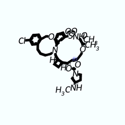 CN[C@@H]1CCN(C(=O)O[C@H]2/C=C/COC(C)(C)C(=O)NS(=O)(=O)c3ccc4c(c3)N(CCCCc3cc(Cl)ccc3CO4)C[C@@H]3CC[C@H]32)C1